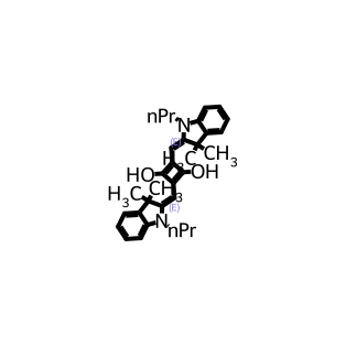 CCCN1/C(=C/C2=C(O)C(/C=C3/N(CCC)c4ccccc4C3(C)C)=C2O)C(C)(C)c2ccccc21